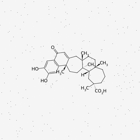 C[C@]1(C(=O)O)CCC[C@@]2(C)CC[C@@]3(C)CC4=CC(=O)c5cc(O)c(O)cc5[C@@]4(C)CC[C@]3(C)[C@H]2C1